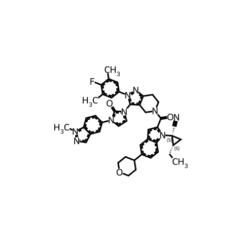 CC[C@H]1C[C@]1(C#N)n1c(C(=O)N2CCc3nn(-c4cc(C)c(F)c(C)c4)c(-n4ccn(-c5ccc6c(cnn6C)c5)c4=O)c3C2)cc2cc(C3CCOCC3)ccc21